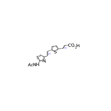 CC(=O)Nc1nc(/C=C/c2ccc(/C=C/C(=O)O)s2)cs1